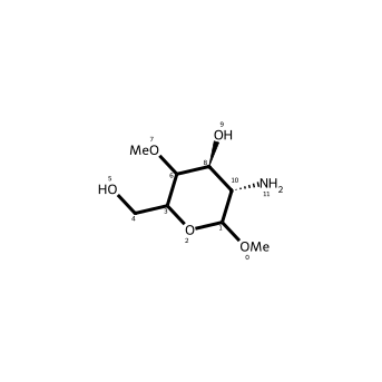 COC1OC(CO)C(OC)[C@@H](O)[C@@H]1N